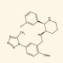 COc1ccc(-n2nnnc2C)cc1CN[C@@H]1CCCN[C@@H]1c1cccc(F)c1